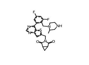 CC1CNCCN1Cc1c(F)cc(F)cc1-c1ncnc2cc(CN3C(=O)C4CC4C3=O)sc12